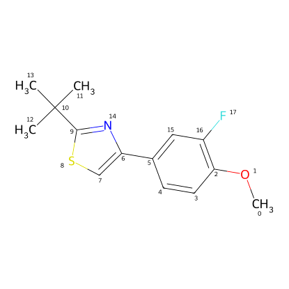 COc1ccc(-c2csc(C(C)(C)C)n2)cc1F